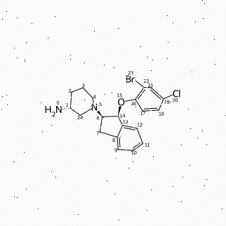 N[C@@H]1CCCN([C@@H]2Cc3ccccc3[C@@H]2Oc2ccc(Cl)cc2Br)C1